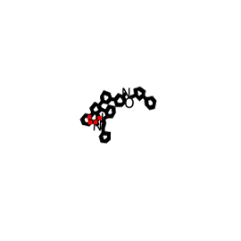 c1ccc(-c2cccc(-c3nc4cc(-c5cccc(-c6ccc7ccccc7c6-c6ccccc6-c6cc(-c7ccccc7)nc(-c7ccccc7)n6)c5)ccc4o3)c2)cc1